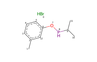 Br.Cc1cccc(OPC(C)C)c1